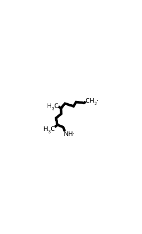 [CH2]CCCCC(C)CCC(C)C[NH]